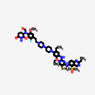 CCOc1cc(N2CCC(N3CCN(CCc4cc(OC)c(N(C=O)C5CCC(=O)NC5=O)cc4F)CC3)CC2)c(CC)cc1Nc1ncc(Br)c(Nc2ccc3nc(CC)ncc3c2P(C)(C)=O)n1